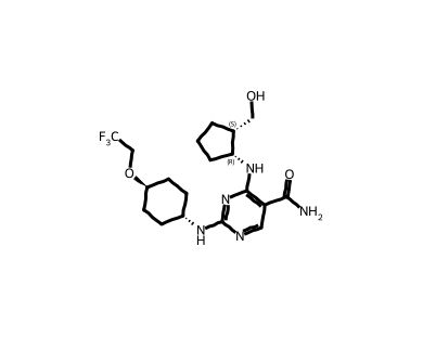 NC(=O)c1cnc(N[C@H]2CC[C@H](OCC(F)(F)F)CC2)nc1N[C@@H]1CCC[C@@H]1CO